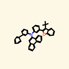 CC(C)(C)c1c(-c2cccc(N(c3cccc(-c4ccccc4)c3)c3cc4ccccc4c4ccccc34)c2)oc2ccccc12